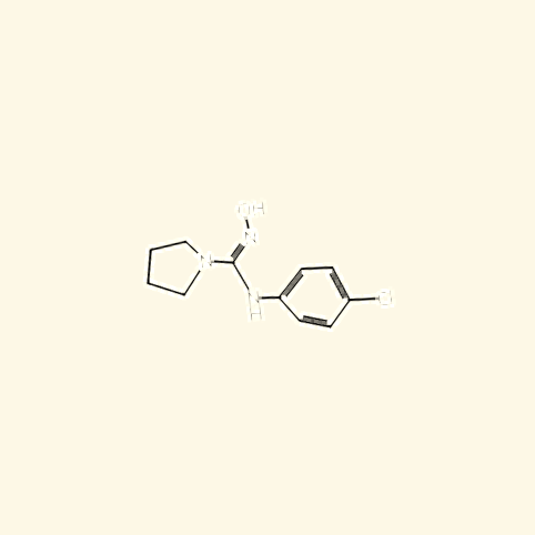 ON=C(Nc1ccc(Cl)cc1)N1CCCC1